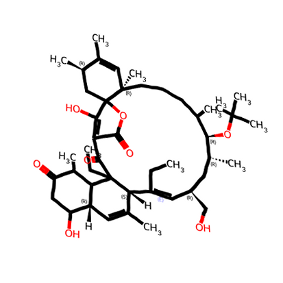 CC/C1=C\[C@H](CO)C[C@@H](C)[C@H](OC(C)(C)C)C(C)CCC[C@]2(C)C=C(C)[C@H](C)CC23OC(=O)C(=C3O)C(=O)C2(CC)C3C(C)C(=O)CC(O)[C@H]3C=C(C)[C@@H]12